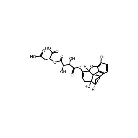 O=C(O)C[C@@H](OC(=O)[C@H](O)[C@@H](O)C(=O)OC1=CC[C@@]2(O)[C@@H]3CCC[C@@]24c2c(ccc(O)c2O[C@@H]14)C3)C(=O)O